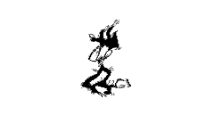 CC1(C)OB(c2ccc3cncc(Cl)c3c2)OC1(C)C